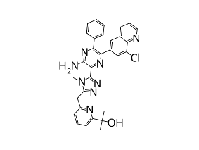 Cn1c(Cc2cccc(C(C)(C)O)n2)nnc1-c1nc(-c2cc(Cl)c3ncccc3c2)c(-c2ccccc2)nc1N